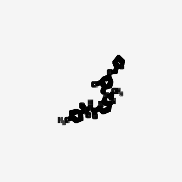 Cc1ccc(S(=O)(=O)NC(=O)c2ccc3nc(C)n(Cc4ccc(OCc5cccs5)cc4Cl)c3n2)cc1